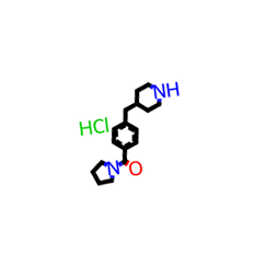 Cl.O=C(c1ccc(CC2CCNCC2)cc1)N1CCCC1